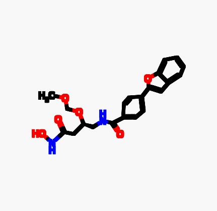 COCO[C@@H](CNC(=O)c1ccc(-c2cc3ccccc3o2)cc1)CC(=O)NO